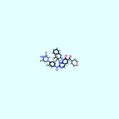 C[C@@H]1CN(c2ccc(Nc3ncc4cc(C(=O)C5CCOCC5)c(=O)n(C5Cc6ccccc6C(=O)C5(C)C)c4n3)cc2F)C[C@H](C)N1